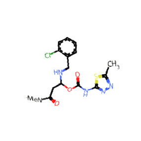 C[N]C(=O)CC(NCc1ccccc1Cl)OC(=O)Nc1nnc(C)s1